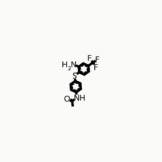 CC(=O)Nc1ccc(Sc2ccc(C(F)(F)F)cc2N)cc1